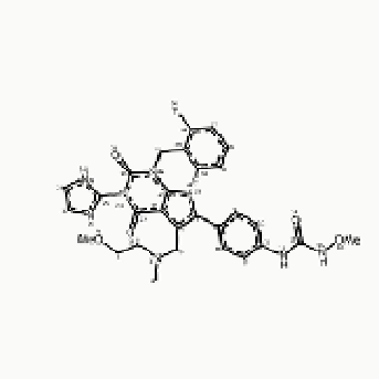 COCCN(C)Cc1c(-c2ccc(NC(=O)NOC)cc2)sc2c1c(=O)n(-c1ncc[nH]1)c(=O)n2Cc1c(F)cccc1F